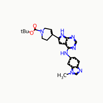 Cn1cnc2ccc(Nc3ncnc4[nH]c(C5=CCN(C(=O)OC(C)(C)C)CC5)cc34)cc21